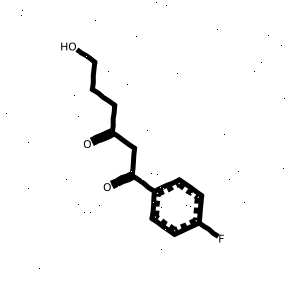 O=C(CCCO)CC(=O)c1ccc(F)cc1